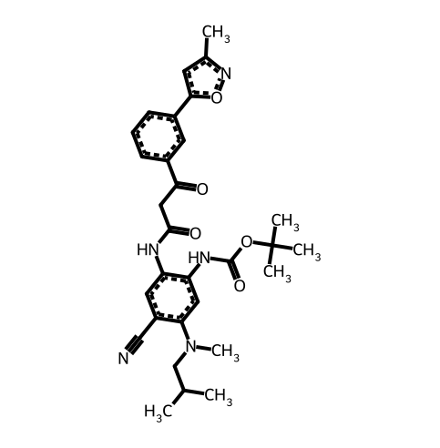 Cc1cc(-c2cccc(C(=O)CC(=O)Nc3cc(C#N)c(N(C)CC(C)C)cc3NC(=O)OC(C)(C)C)c2)on1